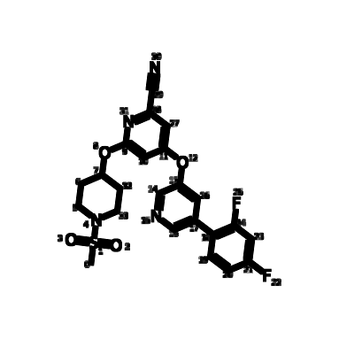 CS(=O)(=O)N1CCC(Oc2cc(Oc3cncc(-c4ccc(F)cc4F)c3)cc(C#N)n2)CC1